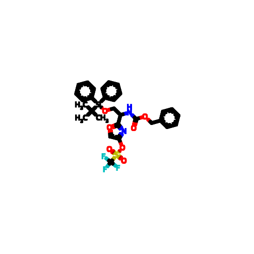 CC(C)(C)[Si](OCC(NC(=O)OCc1ccccc1)c1nc(OS(=O)(=O)C(F)(F)F)co1)(c1ccccc1)c1ccccc1